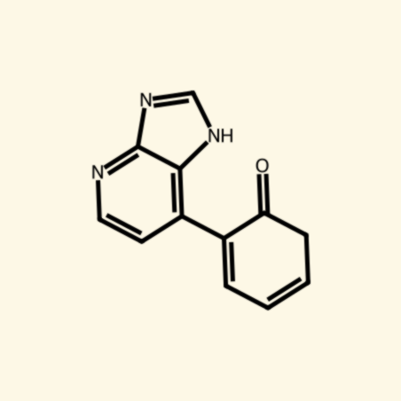 O=C1CC=CC=C1c1ccnc2nc[nH]c12